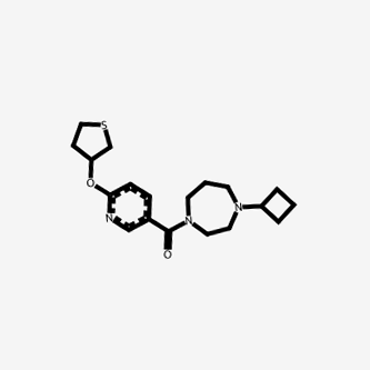 O=C(c1ccc(OC2CCSC2)nc1)N1CCCN(C2CCC2)CC1